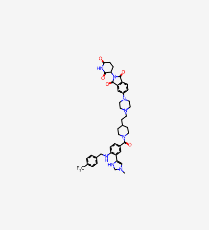 CN1C=C(c2cc(C(=O)N3CCC(CCN4CCN(c5ccc6c(c5)C(=O)N(C5CCC(=O)NC5=O)C6=O)CC4)CC3)ccc2NCc2ccc(C(F)(F)F)cc2)NC1